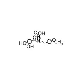 COc1ccc(CCCNC[C@@H](OC(=O)C(=O)O)c2ccc(O)c(O)c2)cc1